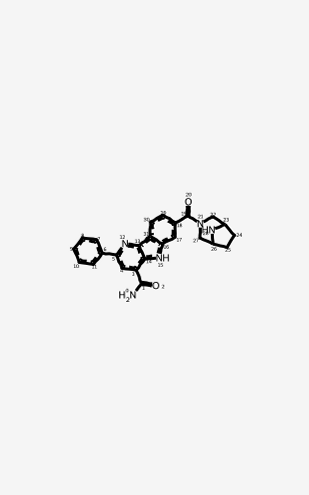 NC(=O)c1cc(-c2ccccc2)nc2c1[nH]c1cc(C(=O)N3CC4CCC(C3)N4)ccc12